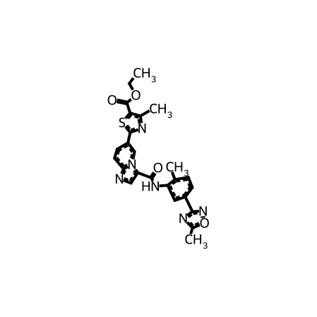 CCOC(=O)c1sc(-c2ccc3ncc(C(=O)Nc4cc(-c5noc(C)n5)ccc4C)n3c2)nc1C